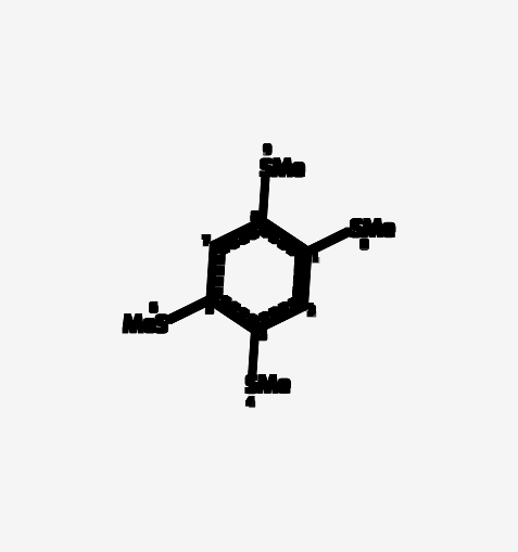 CSc1[c]c(SC)c(SC)cc1SC